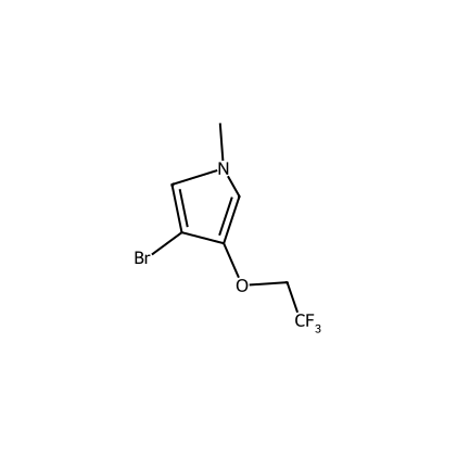 Cn1cc(Br)c(OCC(F)(F)F)c1